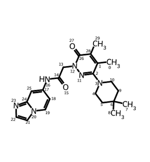 Cc1c(N2CCC(C)(C)CC2)nn(CC(=O)Nc2ccn3ccnc3c2)c(=O)c1C